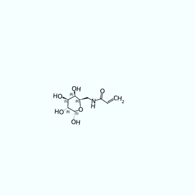 C=CC(=O)NC[C@H]1O[C@H](O)[C@H](O)[C@@H](O)[C@H]1O